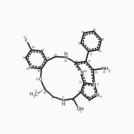 C[C@H]1CNC(O)c2cnn3c(N)c(-c4ccccc4)c(nc23)NCc2cc(F)cnc2O1